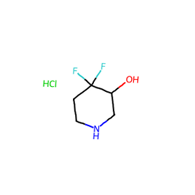 Cl.OC1CNCCC1(F)F